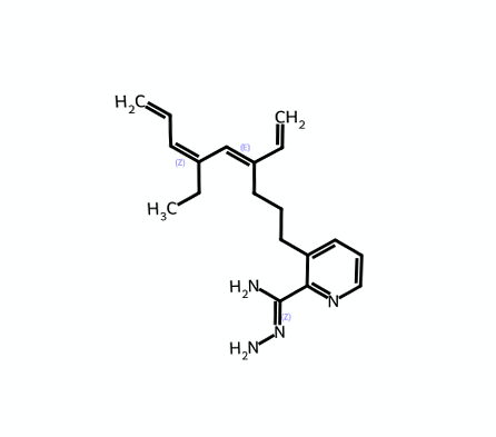 C=C/C=C(\C=C(\C=C)CCCc1cccnc1/C(N)=N/N)CC